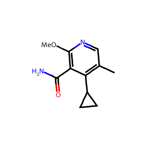 COc1ncc(C)c(C2CC2)c1C(N)=O